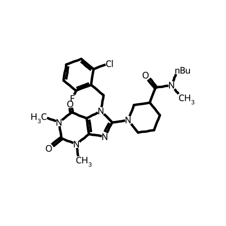 CCCCN(C)C(=O)C1CCCN(c2nc3c(c(=O)n(C)c(=O)n3C)n2Cc2c(F)cccc2Cl)C1